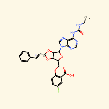 CCNC(=O)Nc1ncnc2c1ncn2C1OC(COc2ccc(F)cc2C(=O)O)C2O[C@H](/C=C/c3ccccc3)OC21